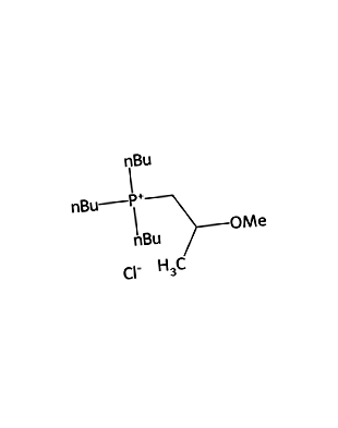 CCCC[P+](CCCC)(CCCC)CC(C)OC.[Cl-]